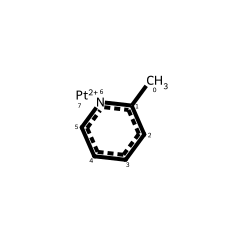 Cc1ccccn1.[Pt+2]